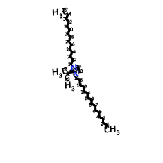 CCCCCCCCCCCCCCCCCN1C=CN(CCCCCCCCCCCCCCC)C1C(C)C